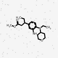 CCC(CC(=O)OC)c1ccc(N(CC)C2CCOCC2)c(N)c1